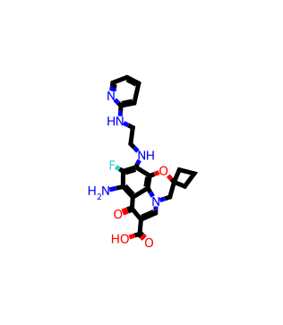 Nc1c(F)c(NCCNc2ccccn2)c2c3c1c(=O)c(C(=O)O)cn3CC1(CCC1)O2